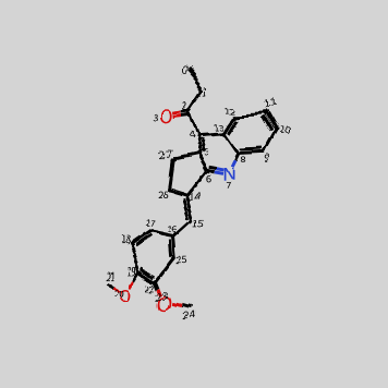 CCC(=O)c1c2c(nc3ccccc13)/C(=C/c1ccc(OC)c(OC)c1)CC2